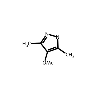 COC1=C(C)[N]N=C1C